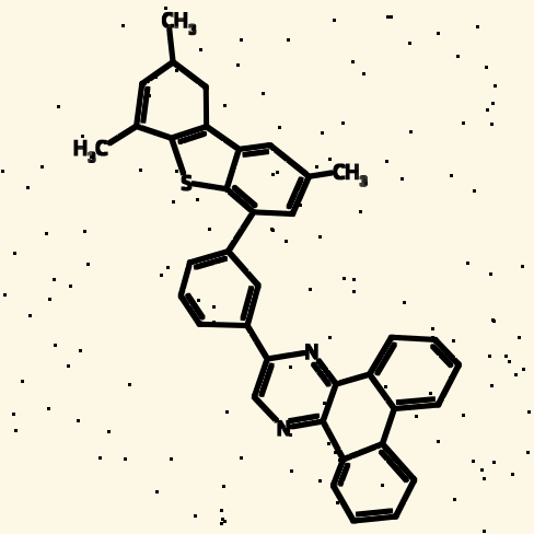 CC1=CC(C)Cc2c1sc1c(-c3cccc(-c4cnc5c6ccccc6c6ccccc6c5n4)c3)cc(C)cc21